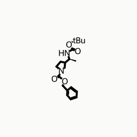 C[C@H](NC(=O)OC(C)(C)C)C1CCN(C(=O)OCc2ccccc2)C1